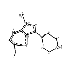 Fc1cnc2c(c1)c(C1CCNCC1)cn2P